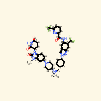 CN(C[C@H]1CC[C@H](n2cc3cc(NC(=O)c4cccc(C(F)(F)F)n4)c(C(F)F)cc3n2)CC1)C1CCN(c2ccc3c(c2)n(C)c(=O)n3C2CCC(=O)NC2=O)CC1